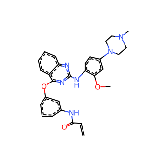 C=CC(=O)Nc1cccc(Oc2nc(Nc3ccc(N4CCN(C)CC4)cc3OC)nc3ccccc23)c1